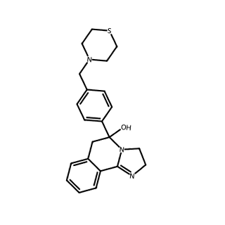 OC1(c2ccc(CN3CCSCC3)cc2)Cc2ccccc2C2=NCCN21